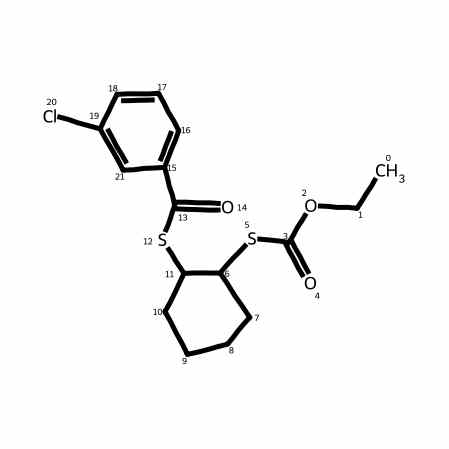 CCOC(=O)SC1CCCCC1SC(=O)c1cccc(Cl)c1